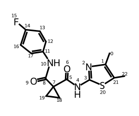 Cc1nc(NC(=O)C2(C(=O)Nc3ccc(F)cc3)CC2)sc1C